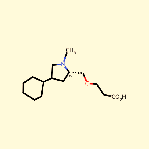 CN1CC(C2CCCCC2)C[C@H]1COCCC(=O)O